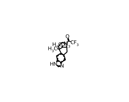 CC12CCN(C(=O)C(F)(F)F)C(Cc3cc4nc[nH]c4cc31)C2(C)C